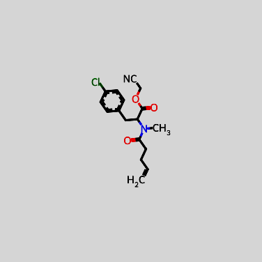 C=CCCC(=O)N(C)C(Cc1ccc(Cl)cc1)C(=O)OCC#N